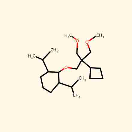 COCC(COC)(COC1C(C(C)C)CCCC1C(C)C)C1CCC1